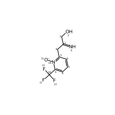 N=C(CO)Cc1cccc(C(F)(F)F)[n+]1[O-]